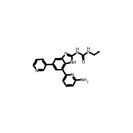 CCNC(=O)Nc1nc2cc(-c3cccnc3)cc(-c3cccc(N)n3)c2[nH]1